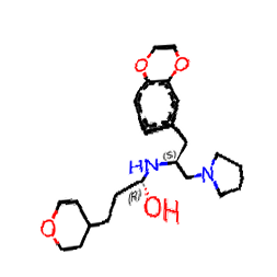 O[C@H](CCC1CCOCC1)N[C@@H](Cc1ccc2c(c1)OCCO2)CN1CCCC1